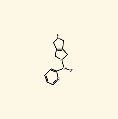 [O-][S+](c1ccccn1)N1CC2=C(CNC2)C1